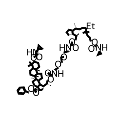 CCC(CC[C@@H](C)C1CCC[C@H]1[C@@H](C)COC(=O)NCCOCCOCCNC(=O)OC[C@H](C)[C@@H]1CC[C@]2(C(=O)OCc3ccccc3)CC[C@]3(C)C(CCC4[C@@]5(C)CCC(OC(=O)NC6CC6)C(C)(C)C5CC[C@]43C)C12)C(C)(C)CCCOC(=O)NC1CC1